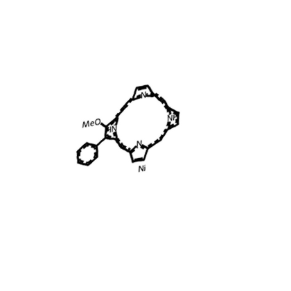 COc1c(-c2ccccc2)c2cc3nc(cc4ccc(cc5nc(cc1[nH]2)C=C5)[nH]4)C=C3.[Ni]